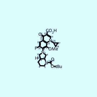 COc1c(N2CC3[C@@H](CCCN3C(=O)OC(C)(C)C)C2)c(F)cc2c(=O)c(C(=O)O)cn(C3CC3)c12